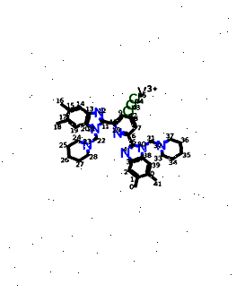 Cc1cc2nc(-c3cccc(-c4nc5cc(C)c(C)cc5n4CN4CCCCC4)n3)n(CN3CCCCC3)c2cc1C.[Cl-].[Cl-].[Cl-].[V+3]